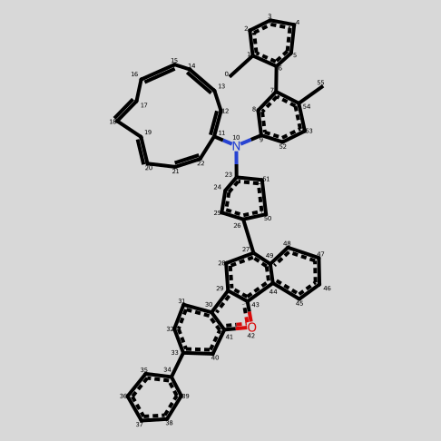 Cc1ccccc1-c1cc(N(C2=C/C=C\C=C/C=C/C=C/C=C\2)c2ccc(-c3cc4c5ccc(-c6ccccc6)cc5oc4c4ccccc34)cc2)ccc1C